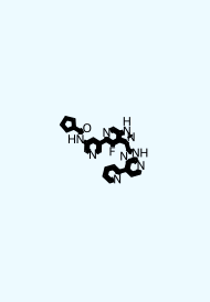 O=C(Nc1cncc(-c2ncc3[nH]nc(-c4nc5c(-c6ccccn6)ccnc5[nH]4)c3c2F)c1)C1CCCC1